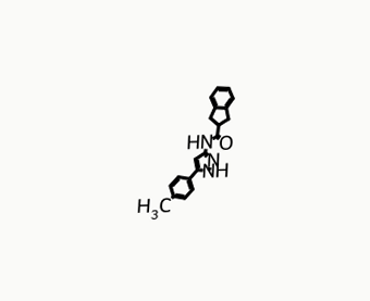 Cc1ccc(-c2cc(NC(=O)C3Cc4ccccc4C3)n[nH]2)cc1